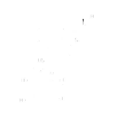 Cc1cc(C)c(C)c(S(=O)(=O)Nc2ccc(N3CCC[C@H](C(=O)O)C3)c3ccccc23)c1C